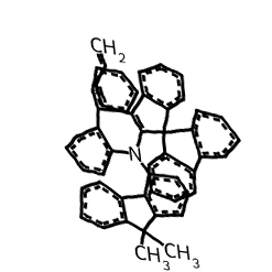 C=C/C=C\C1=C(N(c2ccccc2-c2ccccc2)c2cccc3c2-c2ccccc2C3(C)C)C2(c3ccccc31)c1ccccc1-c1ccccc12